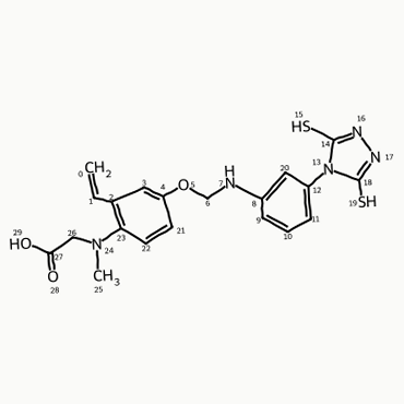 C=Cc1cc(OCNc2cccc(-n3c(S)nnc3S)c2)ccc1N(C)CC(=O)O